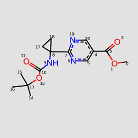 COC(=O)c1cnc(C2(NC(=O)OC(C)(C)C)CC2)nc1